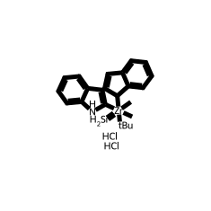 C[C](C)(C)[Zr]([CH3])([CH3])(=[SiH2])([c]1cc2ccccc2[nH]1)[CH]1C=Cc2ccccc21.Cl.Cl